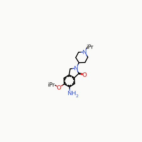 CC(C)Oc1cc2c(cc1N)C(=O)N(C1CCN(C(C)C)CC1)C2